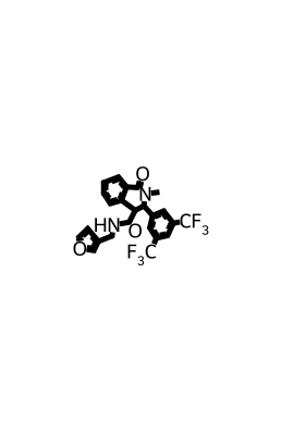 CN1C(=O)c2ccccc2C(C(=O)NCc2ccoc2)C1c1cc(C(F)(F)F)cc(C(F)(F)F)c1